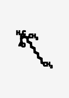 CCCCCCCCCCC(C)[C](C)CC1CO1